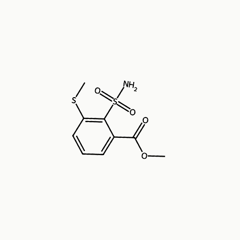 COC(=O)c1cccc(SC)c1S(N)(=O)=O